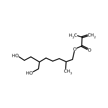 C=C(C)C(=O)OCC(C)CCCC(CO)CCO